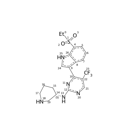 CCS(=O)(=O)c1cccc2c(-c3nc(N[C@H]4CCCNC4)ncc3C(F)(F)F)c[nH]c12